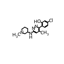 Cc1cc(NC2CCCN(C)C2)nnc1-c1ccc(Cl)cc1O